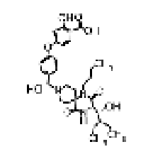 CCCCN1C(=O)[C@@H]([C@H](O)C(CC)CC)NC(=O)C12CCN(Cc1ccc(Oc3ccc(C(=O)O)c(O)c3)cc1)CC2.Cl